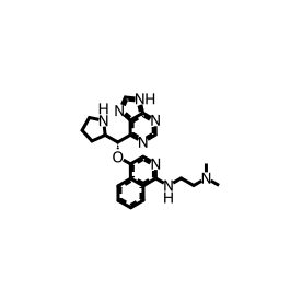 CN(C)CCNc1ncc(O[C@@H](c2ncnc3[nH]cnc23)C2CCCN2)c2ccccc12